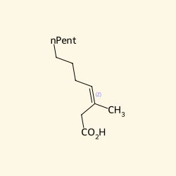 CCCCCCCC/C=C(/C)CC(=O)O